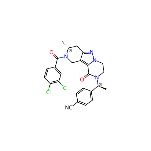 C[C@@H]1Cc2nn3c(c2CN1C(=O)c1ccc(Cl)c(Cl)c1)C(=O)N([C@@H](C)c1ccc(C#N)cc1)CC3